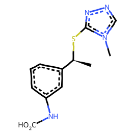 C[C@H](Sc1nncn1C)c1cccc(NC(=O)O)c1